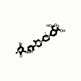 CC1CN([C@@H]2CCN(c3ccc(C(=O)O)c(C(=O)O)c3)[C@@H](C)C2)CCN1c1ccc(Nc2cc(Br)cn(C)c2=O)nc1